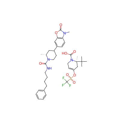 CC(C)(C)[C@@]1(C)CC(OS(=O)(=O)C(F)(F)F)=CCN1C(=O)O.C[C@@H]1CC(c2ccc3c(c2)oc(=O)n3C)CCN1C(=O)NCCCCc1ccccc1